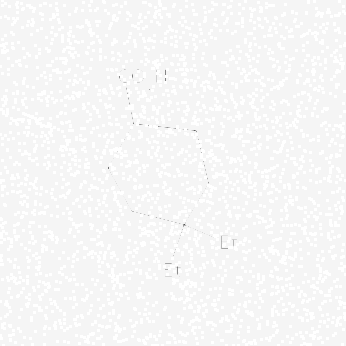 CCC1(CC)CCC(C(=O)O)CC1